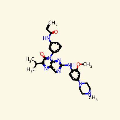 C=CC(=O)Nc1cccc(-n2c(=O)c(C(C)C)nc3cnc(Nc4ccc(N5CCN(C)CC5)cc4OC)nc32)c1